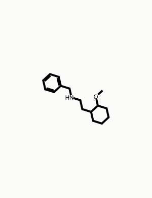 COC1CCCCC1CCNCc1ccccc1